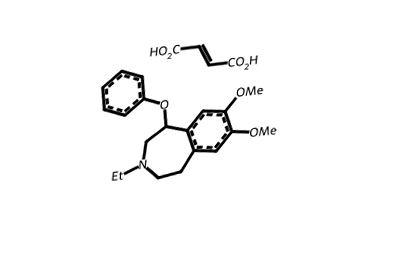 CCN1CCc2cc(OC)c(OC)cc2C(Oc2ccccc2)C1.O=C(O)C=CC(=O)O